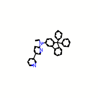 C=CN(c1ccc2c(c1)-c1ccccc1C2(c1ccccc1)c1ccccc1)c1ccc(-c2cccnc2)cn1